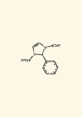 CCCCCCCCCCN1C=CN(CCCCCCCCC)C1c1ccccc1